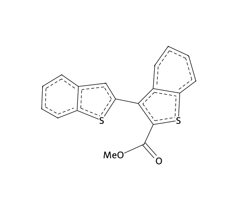 COC(=O)c1sc2ccccc2c1-c1cc2ccccc2s1